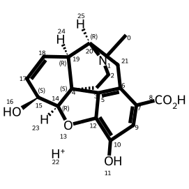 CN1CC[C@]23c4c5c(C(=O)O)cc(O)c4O[C@H]2[C@@H](O)C=C[C@H]3[C@H]1C5.[H+]